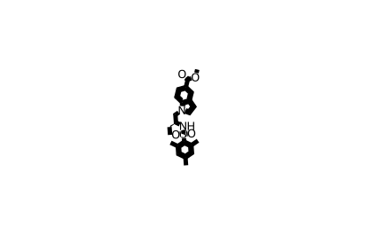 CC[C@H](Cn1ccc2cc(C(=O)OC)ccc21)NS(=O)(=O)c1c(C)cc(C)cc1C